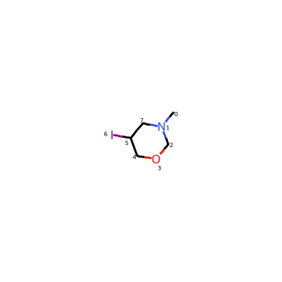 CN1COCC(I)C1